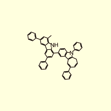 Cc1cc(-c2ccccc2)cc2c1[nH]c1c(-c3ccc4c(c3)c3c(n4-c4ccccc4)CC=CC(c4ccccc4)=C3)cc(-c3ccccc3)cc12